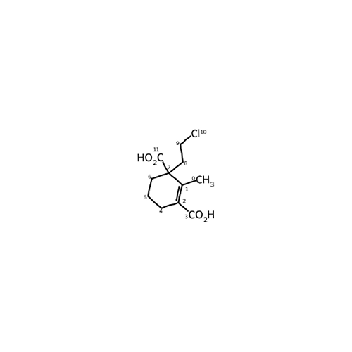 CC1=C(C(=O)O)CCCC1(CCCl)C(=O)O